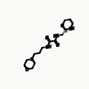 O=C(NCCCN1CCOCC1)C(=O)NC[C@H]1NCCCO1